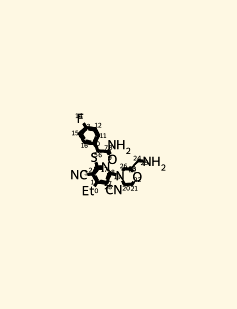 CCc1c(C#N)c(SC(C(N)=O)c2ccc(F)cc2)nc(N2CCO[C@H](CN)C2)c1C#N